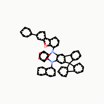 c1ccc(-c2ccc3c(c2)oc2c(N(c4ccccc4)c4cc5c(cc4N(c4ccccc4)c4cccc6ccccc46)C4(c6ccccc6-c6ccccc64)c4ccccc4-5)cccc23)cc1